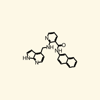 O=C(Nc1ccc2ccccc2c1)c1cccnc1NCc1ccnc2[nH]ccc12